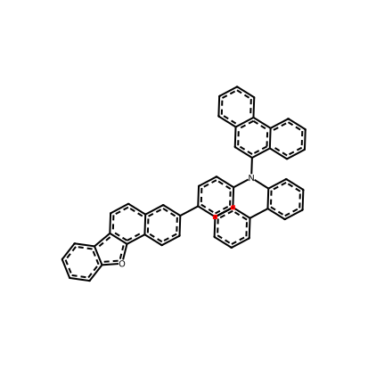 c1ccc(-c2ccccc2N(c2ccc(-c3ccc4c(ccc5c6ccccc6oc45)c3)cc2)c2cc3ccccc3c3ccccc23)cc1